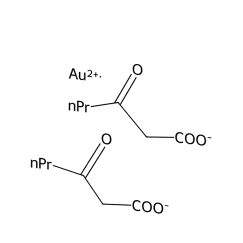 CCCC(=O)CC(=O)[O-].CCCC(=O)CC(=O)[O-].[Au+2]